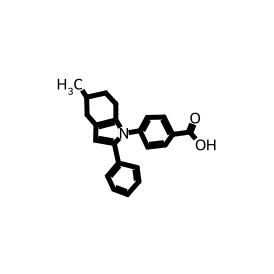 CC1CCc2c(cc(-c3ccccc3)n2-c2ccc(C(=O)O)cc2)C1